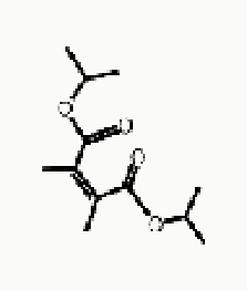 C/C(C(=O)OC(C)C)=C(\C)C(=O)OC(C)C